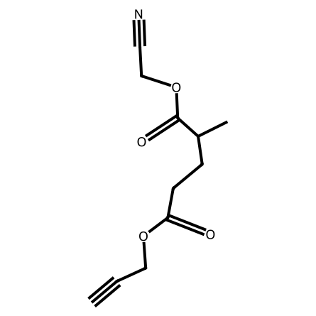 C#CCOC(=O)CCC(C)C(=O)OCC#N